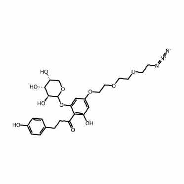 [N-]=[N+]=NCCOCCOCCOc1cc(O)c(C(=O)CCc2ccc(O)cc2)c(OC2OC[C@@H](O)[C@@H](O)[C@@H]2O)c1